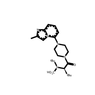 Cc1cn2c(N3CCN(C(=O)[C@H](N(C(=O)O)C(C)(C)C)C(C)(C)C)CC3)cccc2n1